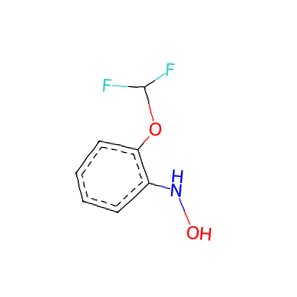 ONc1ccccc1OC(F)F